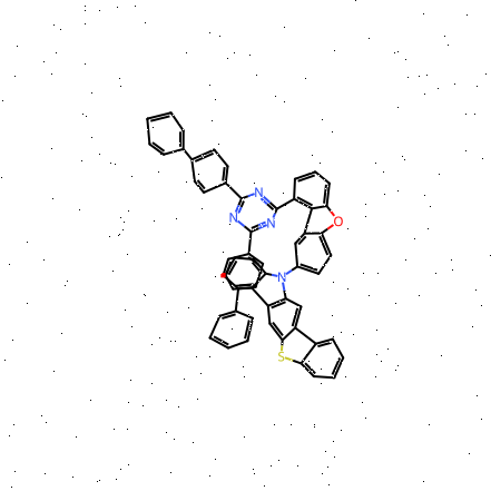 c1ccc(-c2ccc(-c3nc(-c4ccc(-c5ccccc5)cc4)nc(-c4cccc5oc6ccc(-n7c8ccccc8c8cc9sc%10ccccc%10c9cc87)cc6c45)n3)cc2)cc1